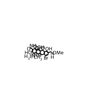 CONCc1cc(Br)c2c(c1O)C(=O)C1=C(O)[C@]3(O)C(=O)C(C(N)=O)=C(O)[C@@H](N(C)C)[C@@H]3C[C@@H]1C2